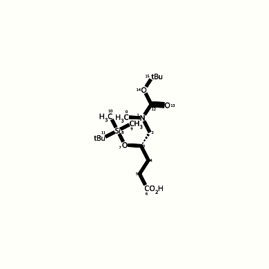 CN(C[C@H](CCC(=O)O)O[Si](C)(C)C(C)(C)C)C(=O)OC(C)(C)C